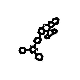 c1ccc(-c2cc(-c3ccccc3)nc(-c3ccc(-c4ccc5c(c4)C4(c6cc7ccccc7cc6O5)c5ccccc5-c5ccccc54)cc3)n2)cc1